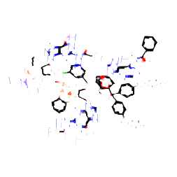 COc1ccc(C(OC[C@@H]2O[C@@H](n3cnc4c(NC(=O)c5ccccc5)ncnc43)C[C@H]2C(c2cc[c]c(Cl)c2)[C@H]2O[C@@H](n3cnc4c(=O)[nH]c(NC(=O)C(C)C)nc43)C[C@@H]2OP(=O)(OC[C@H]2O[C@@H](n3cnc4c(=O)[nH]c(NC(=O)C(C)C)nc43)C[C@@H]2OP(OCCC#N)N(C(C)C)C(C)C)Oc2ccccc2Cl)(c2ccccc2)c2ccc(OC)cc2)cc1